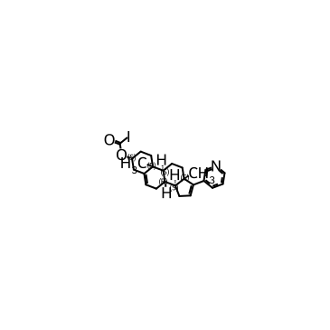 C[C@]12CC[C@H](OC(=O)I)CC1=CC[C@@H]1[C@@H]2CC[C@]2(C)C(c3cccnc3)=CC[C@@H]12